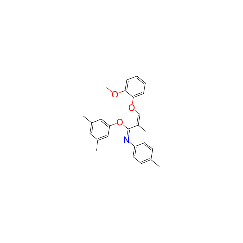 COc1ccccc1OC=C(C)C(=Nc1ccc(C)cc1)Oc1cc(C)cc(C)c1